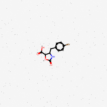 O=C1NC(Cc2ccc(Br)cc2)C(C(=O)O)O1